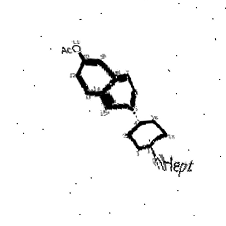 CCCCCCC[C@H]1CC[C@H](c2ccc3cc(OC(C)=O)ccc3c2)CC1